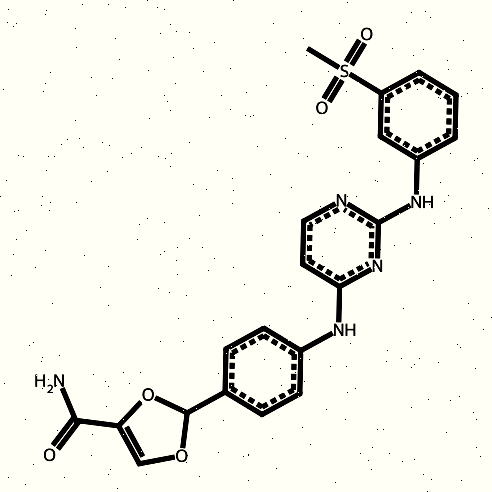 CS(=O)(=O)c1cccc(Nc2nccc(Nc3ccc(C4OC=C(C(N)=O)O4)cc3)n2)c1